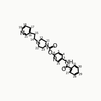 O=C(Nc1ccc(OC(=O)N2CCN(CCc3cccnc3)CC2)nc1)c1ccccc1